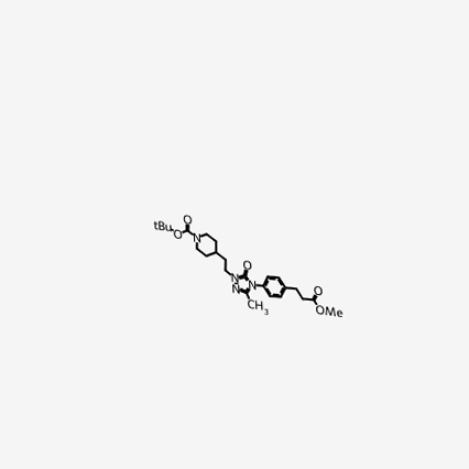 COC(=O)CCc1ccc(-n2c(C)nn(CCC3CCN(C(=O)OC(C)(C)C)CC3)c2=O)cc1